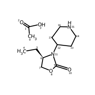 CC(=O)O.CC[C@@H]1COC(=O)N1C1CCNCC1